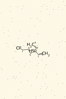 C=C[SiH](C=C)CCCCl